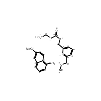 COc1ccc2c(C)cccc2c1.O=C(O)CO[N+](=O)OCc1cccc(CO[N+](=O)[O-])n1